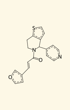 O=C(C=Cc1ccoc1)N1CCc2sccc2C1c1ccncc1